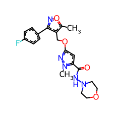 Cc1onc(-c2ccc(F)cc2)c1COc1cc(C(=O)NN2CCOCC2)n(C)n1